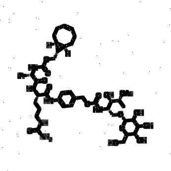 CC(=O)O[C@H](C)[C@@H](O)[C@H](CO[C@H]1OC(CO)[C@H](O)C(O)C1O)NC(=O)OCc1ccc(NC(=O)[C@H](CCCNC(N)=O)NC(=O)[C@@H](NC(=O)OC[C@H]2[C@@H]3CC/C=C\CC[C@@H]32)C(C)C)cc1